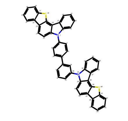 c1cc(-c2ccc(-n3c4ccccc4c4c5sc6ccccc6c5ccc43)cc2)cc(-n2c3ccccc3c3c4sc5ccccc5c4ccc32)c1